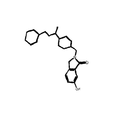 CC(CCC1CCCCC1)C1CCC(CN2Cc3ccc(O)cc3C2=O)CC1